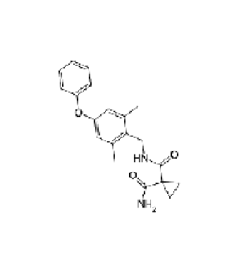 Cc1cc(Oc2ccccc2)cc(C)c1CNC(=O)C1(C(N)=O)CC1